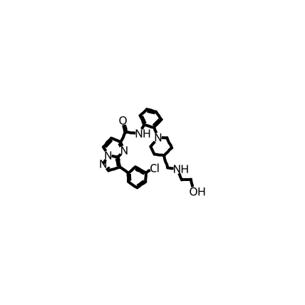 O=C(Nc1ccccc1N1CCC(CNCCO)CC1)c1ccn2ncc(-c3cccc(Cl)c3)c2n1